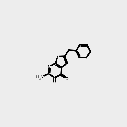 Nc1nc2sc(CC3=CCCC=C3)cc2c(=O)[nH]1